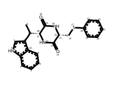 CC(c1c[nH]c2ccccc12)[C@H]1NC(=O)[C@@H](CSc2ccccc2)NC1=O